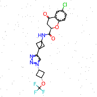 O=C1C[C@H](C(=O)NC23CC(c4cn([C@H]5C[C@@H](OC(F)(F)F)C5)nn4)(C2)C3)Oc2ccc(Cl)cc21